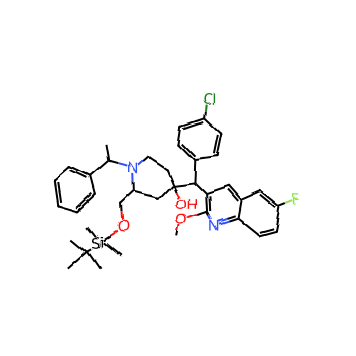 COc1nc2ccc(F)cc2cc1C(c1ccc(Cl)cc1)C1(O)CCN(C(C)c2ccccc2)C(CO[Si](C)(C)C(C)(C)C)C1